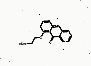 CCCCCCCCCCCCOC1=C2C(=O)c3ccccc3C=C2C=CC1